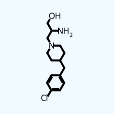 NC(CO)CN1CCC(Cc2ccc(Cl)cc2)CC1